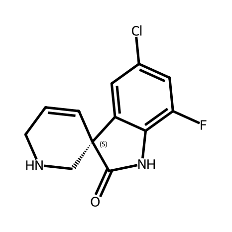 O=C1Nc2c(F)cc(Cl)cc2[C@]12C=CCNC2